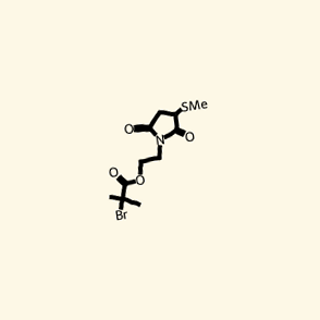 CSC1CC(=O)N(CCOC(=O)C(C)(C)Br)C1=O